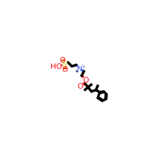 CC(CC(C)(C)C(=O)OCC[N+](C)(C)CCCS(=O)(=O)O)c1ccccc1